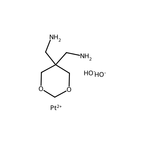 NCC1(CN)COCOC1.[OH-].[OH-].[Pt+2]